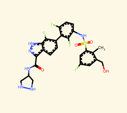 Cc1c(CO)cc(F)cc1S(=O)(=O)Nc1ccc(F)c(-c2ccc3c(C(=O)NC4CNNC4)n[nH]c3c2F)c1F